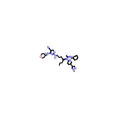 C=C(NCc1ccccc1)/[N+](=C1/C(CCC)C1CCCNc1ncc(C#N)c(NCC2CCOCC2)n1)c1ccc(-c2cnn(C)c2)cn1